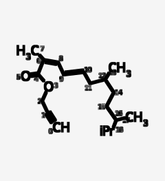 C#CCOC(=O)C(C)=CC=CCC(C)CCC(C)C(C)C